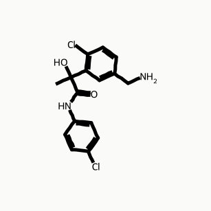 CC(O)(C(=O)Nc1ccc(Cl)cc1)c1cc(CN)ccc1Cl